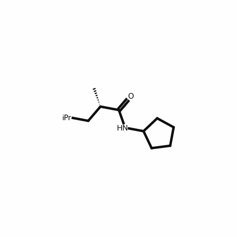 CC(C)C[C@H](C)C(=O)NC1CCCC1